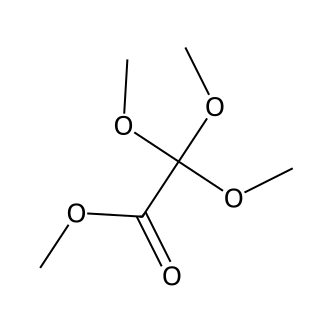 COC(=O)C(OC)(OC)OC